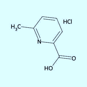 Cc1cccc(C(=O)O)n1.Cl